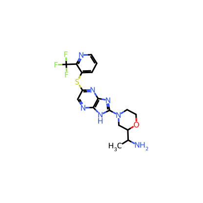 CC(N)C1CN(c2nc3nc(Sc4cccnc4C(F)(F)F)cnc3[nH]2)CCO1